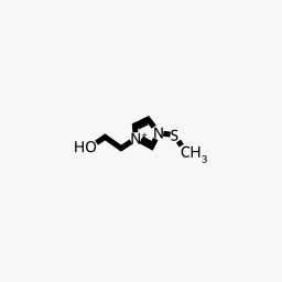 CSn1cc[n+](CCO)c1